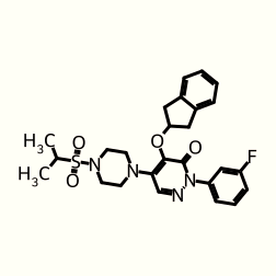 CC(C)S(=O)(=O)N1CCN(c2cnn(-c3cccc(F)c3)c(=O)c2OC2Cc3ccccc3C2)CC1